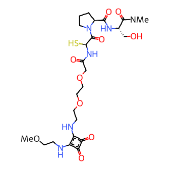 CNC(=O)[C@H](CO)NC(=O)[C@@H]1CCCN1C(=O)[C@H](S)NC(=O)COCCOCCNc1c(NCCOC)c(=O)c1=O